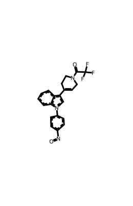 O=Nc1ccc(-n2cc(C3=CCN(C(=O)C(F)(F)F)CC3)c3ccccc32)cc1